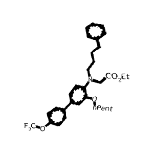 CCCCCOc1cc(-c2ccc(OC(F)(F)F)cc2)ccc1N(CCCCc1ccccc1)CC(=O)OCC